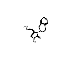 ON=Cc1c[nH]c(=S)n1C1CCc2ccccc2C1